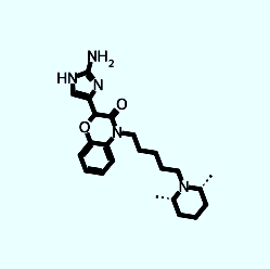 C[C@@H]1CCC[C@H](C)N1CCCCCN1C(=O)C(c2c[nH]c(N)n2)Oc2ccccc21